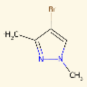 [CH2]c1nn(C)cc1Br